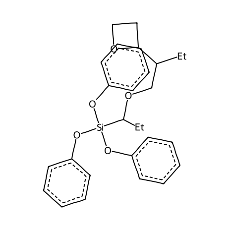 CCC(COC(CC)[Si](Oc1ccccc1)(Oc1ccccc1)Oc1ccccc1)C1CCO1